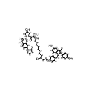 CCN(CCCCCCCCN[C@H](C(=O)N1C[C@H](O)C[C@H]1C(=O)N[C@@H](C)c1ccc(-c2scnc2C)cc1)C(C)(C)C)CCOc1ccc(Cn2c(-c3ccc(O)cc3)c(C)c3cc(O)ccc32)cc1